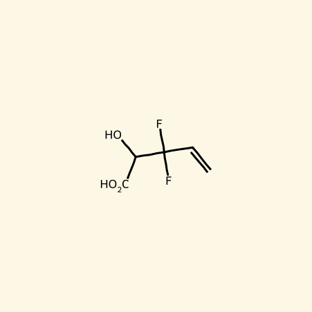 C=CC(F)(F)C(O)C(=O)O